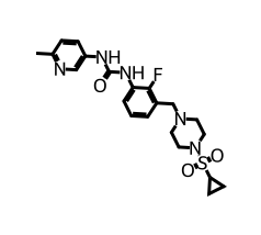 Cc1ccc(NC(=O)Nc2cccc(CN3CCN(S(=O)(=O)C4CC4)CC3)c2F)cn1